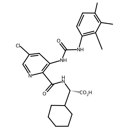 Cc1ccc(NC(=O)Nc2cc(Cl)cnc2C(=O)N[C@H](C(=O)O)C2CCCCC2)c(C)c1C